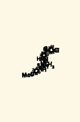 COc1ccc(NC(=S)N/N=C(\C)c2nc3cc(C(=O)c4ccc(Cl)cc4)ccc3[nH]2)cc1